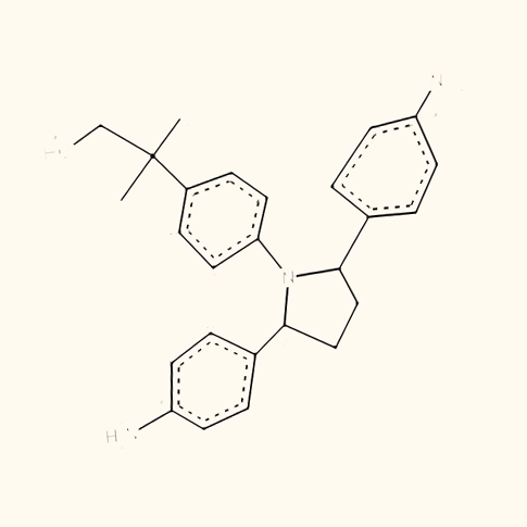 CC(C)(CO)c1ccc(N2C(c3ccc(N)cc3)CCC2c2ccc(N)cc2)cc1